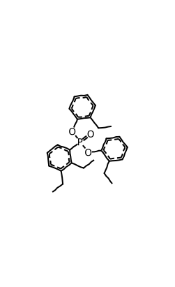 CCc1ccccc1OP(=O)(Oc1ccccc1CC)c1cccc(CC)c1CC